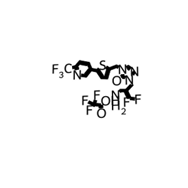 NCC(Cn1ncn(Cc2ccc(-c3ccc(C(F)(F)F)nc3)s2)c1=O)=C(F)F.O=C(O)C(F)(F)F